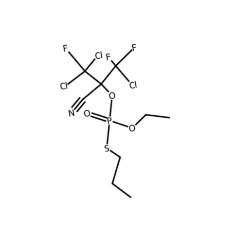 CCCSP(=O)(OCC)OC(C#N)(C(F)(F)Cl)C(F)(Cl)Cl